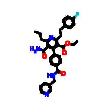 CCCc1nc(CCc2ccc(F)cc2)c(C(=O)OCC)c(-c2ccc(C(=O)NCc3cccnc3)cc2)c1C(N)=O